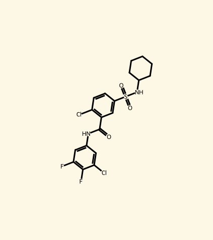 O=C(Nc1cc(F)c(F)c(Cl)c1)c1cc(S(=O)(=O)NC2CCCCC2)ccc1Cl